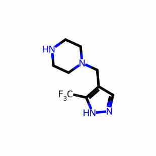 FC(F)(F)c1[nH]ncc1CN1CCNCC1